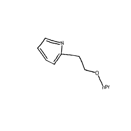 CCCOCCc1ccccn1